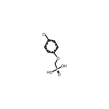 O=P(O)(O)COc1ccc(Cl)cc1